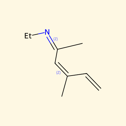 C=C/C(C)=C\C(C)=N/CC